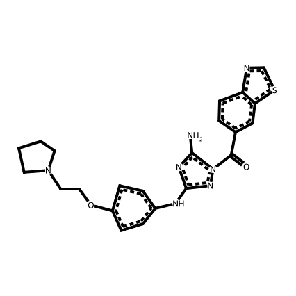 Nc1nc(Nc2ccc(OCCN3CCCC3)cc2)nn1C(=O)c1ccc2ncsc2c1